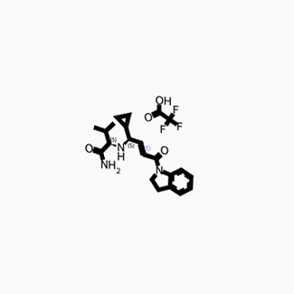 CC(C)[C@H](N[C@H](/C=C/C(=O)N1CCc2ccccc21)C1CC1)C(N)=O.O=C(O)C(F)(F)F